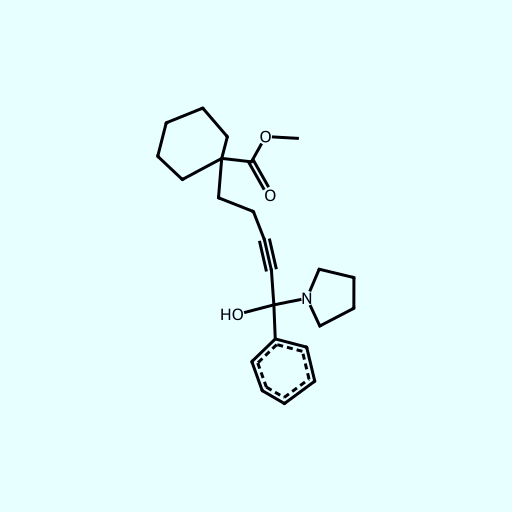 COC(=O)C1(CCC#CC(O)(c2ccccc2)N2CCCC2)CCCCC1